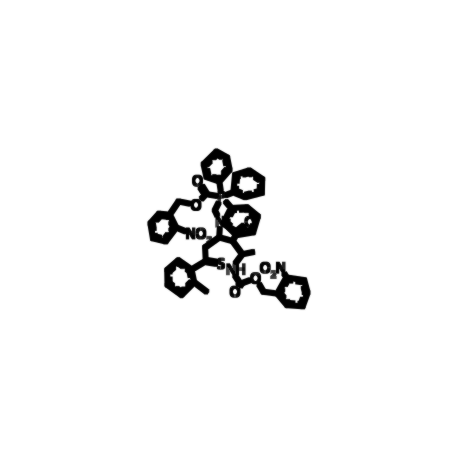 Cc1ccccc1C(=S)CC1C(C(C)NC(=O)OCc2ccccc2[N+](=O)[O-])C(=O)N1CP(C(=O)OCc1ccccc1[N+](=O)[O-])(c1ccccc1)(c1ccccc1)c1ccccc1